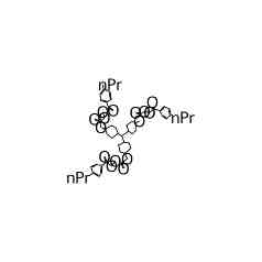 CCCc1ccc(C(=O)OOC(=O)OC2CCC(C(C3CCC(OC(=O)OOC(=O)c4ccc(CCC)cc4)CC3)C3CCC(OC(=O)OOC(=O)c4ccc(CCC)cc4)CC3)CC2)cc1